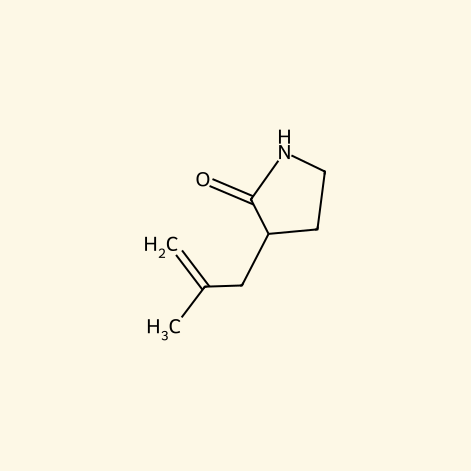 C=C(C)CC1CCNC1=O